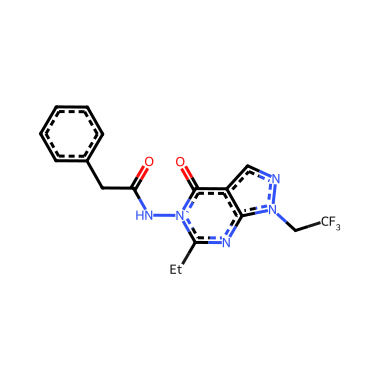 CCc1nc2c(cnn2CC(F)(F)F)c(=O)n1NC(=O)Cc1ccccc1